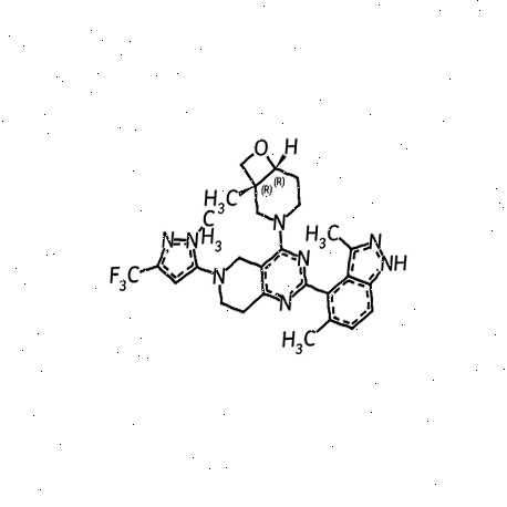 Cc1ccc2[nH]nc(C)c2c1-c1nc2c(c(N3CC[C@H]4OC[C@@]4(C)C3)n1)CN(c1cc(C(F)(F)F)nn1C)CC2